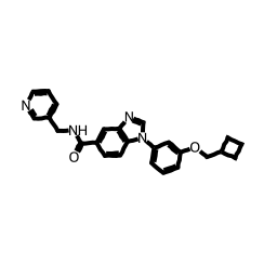 O=C(NCc1cccnc1)c1ccc2c(c1)ncn2-c1cccc(OCC2CCC2)c1